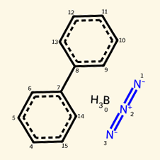 B.[N-]=[N+]=[N-].c1ccc(-c2ccccc2)cc1